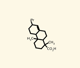 CC(C)C1C=C2CCC3C(C)(C(=O)O)CCCC3(C)C2CC1